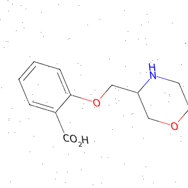 O=C(O)c1ccccc1OCC1COCCN1